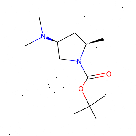 C[C@@H]1C[C@H](N(C)C)CN1C(=O)OC(C)(C)C